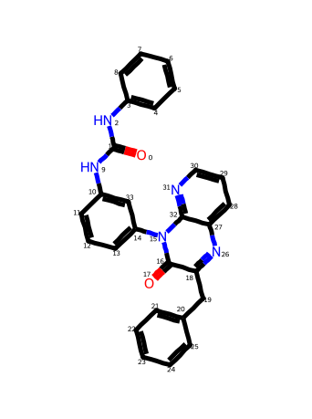 O=C(Nc1ccccc1)Nc1cccc(-n2c(=O)c(Cc3ccccc3)nc3cccnc32)c1